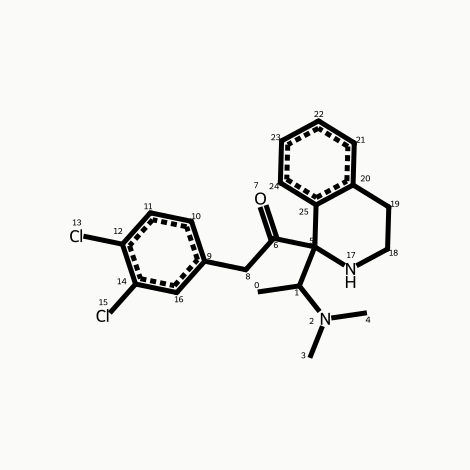 CC(N(C)C)C1(C(=O)Cc2ccc(Cl)c(Cl)c2)NCCc2ccccc21